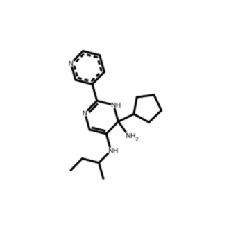 CCC(C)NC1=CN=C(c2cccnc2)NC1(N)C1CCCC1